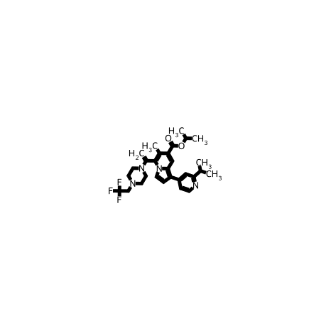 C=C(c1c(C)c(C(=O)OC(C)C)cc2c(-c3ccnc(C(C)C)c3)ccn12)N1CCN(CC(F)(F)F)CC1